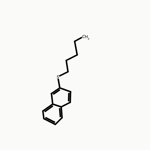 CCCCCSc1[c]c2ccccc2cc1